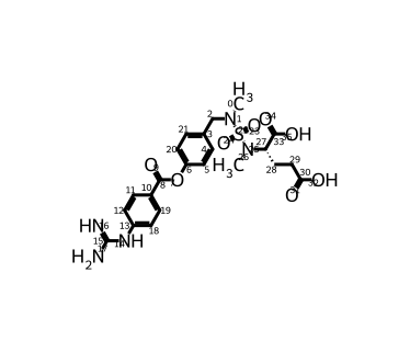 CN(Cc1ccc(OC(=O)c2ccc(NC(=N)N)cc2)cc1)S(=O)(=O)N(C)[C@@H](CCC(=O)O)C(=O)O